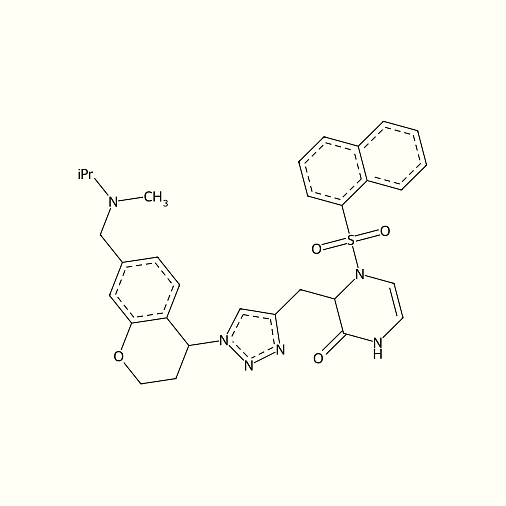 CC(C)N(C)Cc1ccc2c(c1)OCCC2n1cc(CC2C(=O)NC=CN2S(=O)(=O)c2cccc3ccccc23)nn1